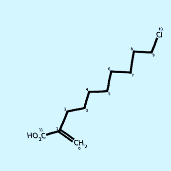 C=C(CCCCCCCCCl)C(=O)O